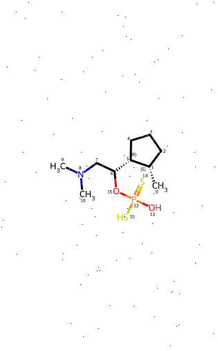 C[C@H]1CCC[C@H]1C(CN(C)C)OP(O)(=S)S